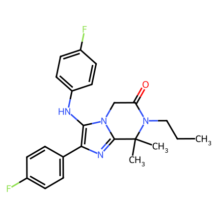 CCCN1C(=O)Cn2c(nc(-c3ccc(F)cc3)c2Nc2ccc(F)cc2)C1(C)C